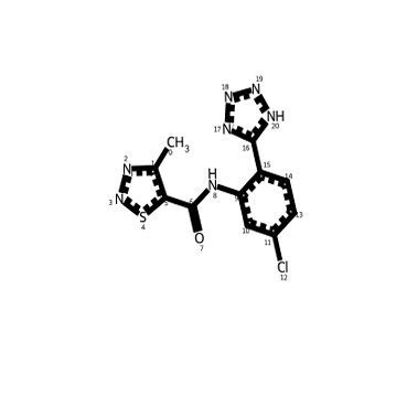 Cc1nnsc1C(=O)Nc1cc(Cl)ccc1-c1nnn[nH]1